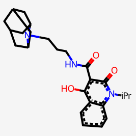 CC(C)n1c(=O)c(C(=O)NCCCN2C3CC4CC(C3)CC2C4)c(O)c2ccccc21